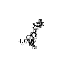 CC(C)n1nc(Br)cc1[C@H]1CC[C@H](N2CCC3(C2)CS(=O)(=O)C3)CC1